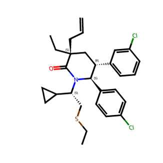 C=CC[C@@]1(CC)C[C@H](c2cccc(Cl)c2)[C@@H](c2ccc(Cl)cc2)N([C@H](CSCC)C2CC2)C1=O